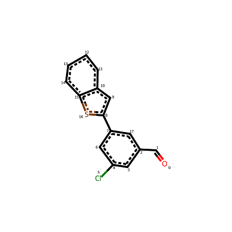 O=Cc1cc(Cl)cc(-c2cc3ccccc3s2)c1